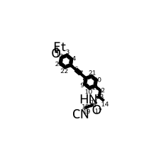 CCOc1ccc(C#Cc2ccc(CC(C)NC(=O)CC#N)cc2)cc1